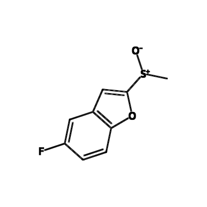 C[S+]([O-])c1cc2cc(F)ccc2o1